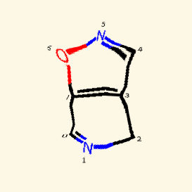 C1=NCc2cnoc21